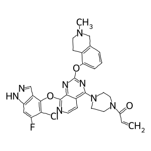 C=CC(=O)N1CCN(c2nc(Oc3cccc4c3CCN(C)C4)nc3c(Oc4c(Cl)c(F)cc5[nH]ncc45)nccc23)CC1